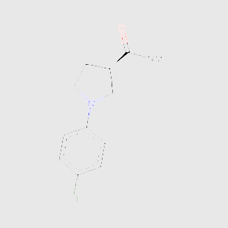 CNC(=O)[C@@H]1CCN(c2ccc(Cl)cc2)C1